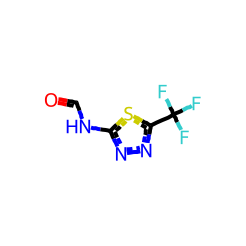 O=CNc1nnc(C(F)(F)F)s1